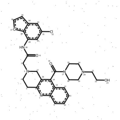 O=C(CN1CCc2nc3ccccc3c(C(=O)N3CCN(CCO)CC3)c2C1)Nc1cc(Cl)cc2ccoc12